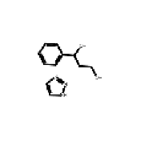 OCCC(O)c1ccccc1.c1c[nH]nn1